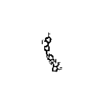 FC1=CC=CC(c2nc3ccn(Cc4ccc(-c5ccc(F)cc5F)cc4)cc-3n2)C1F